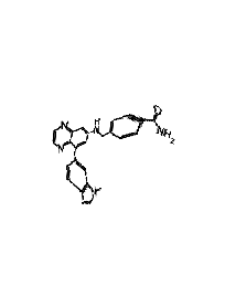 Cn1ccc2ccc(-c3cc(NCc4ccc(C(N)=O)cc4)cc4nccnc34)cc21